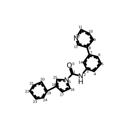 O=C(Nc1cccc(-c2cccnc2)c1)n1ccc(-c2ccccc2)c1